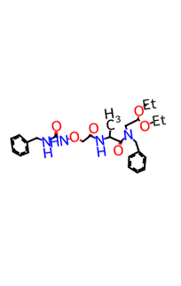 CCOC(CN(Cc1ccccc1)C(=O)C(C)NC(=O)CONC(=O)NCc1ccccc1)OCC